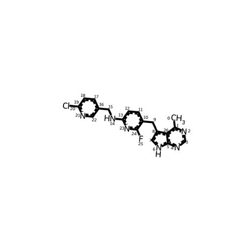 Cc1ncnc2[nH]cc(Cc3ccc(NCc4ccc(Cl)nc4)nc3F)c12